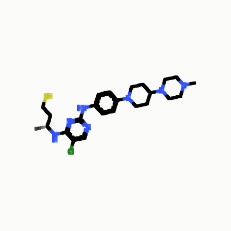 C[C@H](CCS)Nc1nc(Nc2ccc(N3CCC(N4CCN(C)CC4)CC3)cc2)ncc1Cl